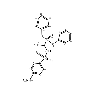 CCCC(NS(=O)(=O)c1ccc(NC(C)=O)cc1)P(=O)(Oc1ccccc1)Oc1ccccc1